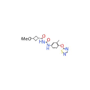 COC1CC(C(=O)NC(=O)Nc2ccc(Oc3ncns3)c(C)c2)C1